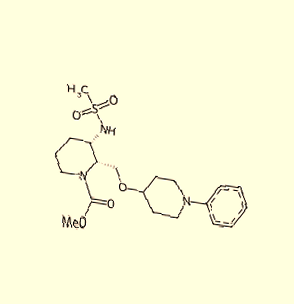 COC(=O)N1CCC[C@H](NS(C)(=O)=O)[C@@H]1COC1CCN(c2ccccc2)CC1